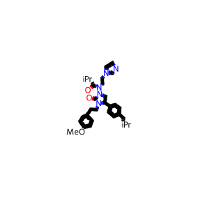 COc1ccc(CCN2C(=O)N(N(CCn3ccnc3)C(=O)C(C)C)CC2c2ccc(CC(C)C)cc2)cc1